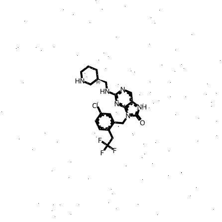 O=c1[nH]c2cnc(NC[C@@H]3CCCNC3)nc2n1Cc1cc(Cl)ccc1CC(F)(F)F